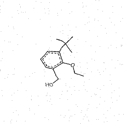 CCOc1c([CH]O)cccc1C(C)(C)C